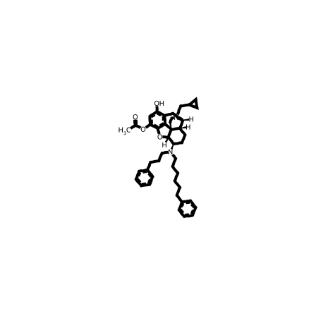 CC(=O)Oc1cc(O)c2c3c1O[C@H]1[C@H](N(CCCCCCc4ccccc4)CCCc4ccccc4)CC[C@H]4[C@@H](C2)N(CC2CC2)CC[C@@]341